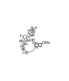 COc1ccc2nc3c(nc2c1)O[C@@H]1C[C@@H](C(=O)N[C@]2(C(=O)NS(=O)(=O)C4CC4)C[C@H]2CCC(F)F)N(C1)C(=O)[C@H](C(C)(C)C)NC(=O)O[C@@H]1C[C@H](C)C[C@H]1CCCCC3